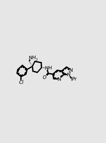 CC(C)n1ncc2cc(C(=O)N[C@H]3CC[C@](CN)(c4cccc(Cl)c4)CC3)cnc21